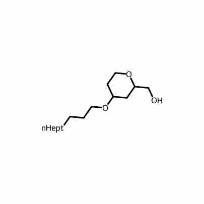 CCCCCCCCCCOC1CCOC(CO)C1